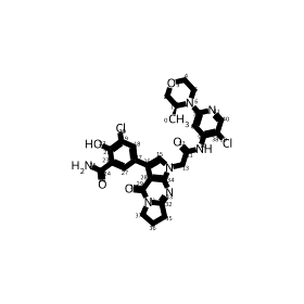 C[C@H]1COCCN1c1cc(NC(=O)Cn2cc(-c3cc(Cl)c(O)c(C(N)=O)c3)c3c(=O)n4c(nc32)CCC4)c(Cl)cn1